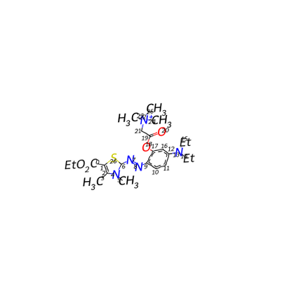 CCOC(=O)C1=C(C)N(C)C(N=Nc2ccc(N(CC)CC)cc2OC(=O)C[N+](C)(C)C)S1